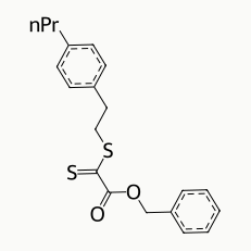 CCCc1ccc(CCSC(=S)C(=O)OCc2ccccc2)cc1